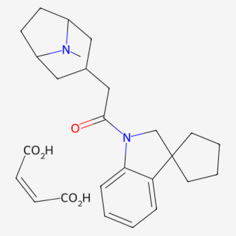 CN1C2CCC1CC(CC(=O)N1CC3(CCCC3)c3ccccc31)C2.O=C(O)/C=C\C(=O)O